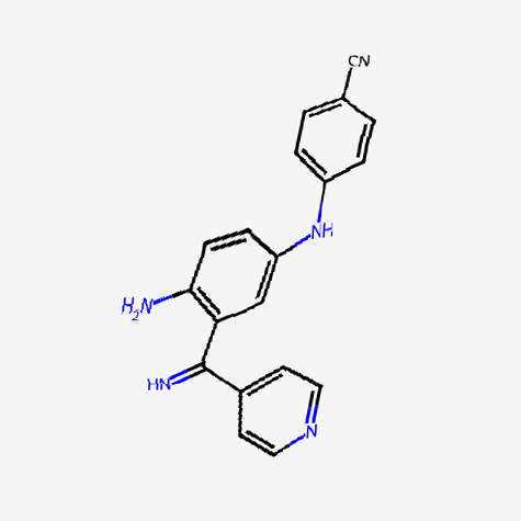 N#Cc1ccc(Nc2ccc(N)c(C(=N)c3ccncc3)c2)cc1